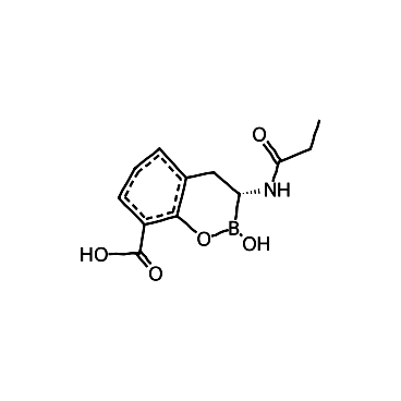 CCC(=O)N[C@H]1Cc2cccc(C(=O)O)c2OB1O